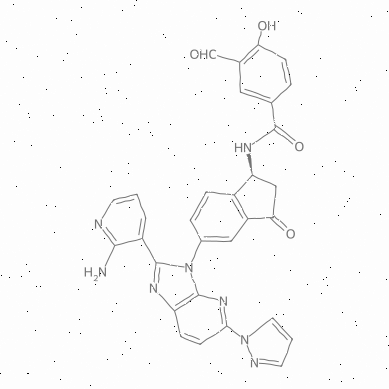 Nc1ncccc1-c1nc2ccc(-n3cccn3)nc2n1-c1ccc2c(c1)C(=O)C[C@@H]2NC(=O)c1ccc(O)c(C=O)c1